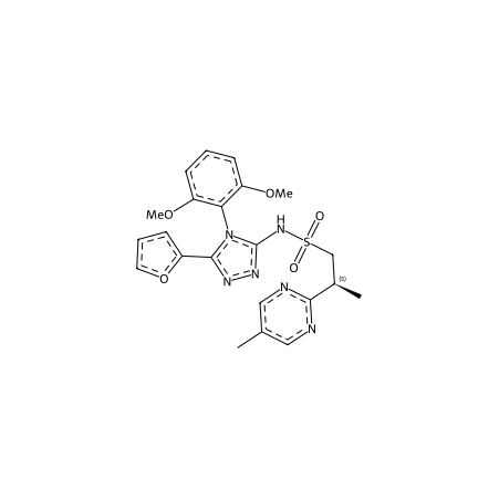 COc1cccc(OC)c1-n1c(NS(=O)(=O)C[C@@H](C)c2ncc(C)cn2)nnc1-c1ccco1